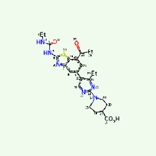 CCNC(=O)Nc1nc2cc(-c3cnc(N4CCC(C(=O)O)CC4)nc3CC)cc(C(=O)CC)c2s1